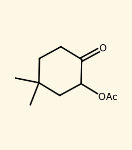 CC(=O)OC1CC(C)(C)CCC1=O